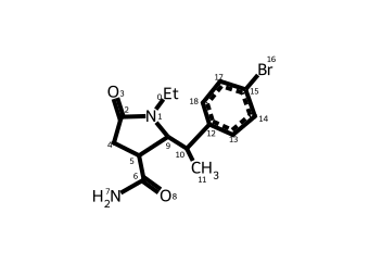 CCN1C(=O)CC(C(N)=O)C1C(C)c1ccc(Br)cc1